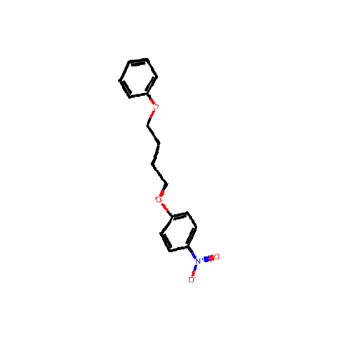 O=[N+]([O-])c1ccc(OCCCCOc2ccccc2)cc1